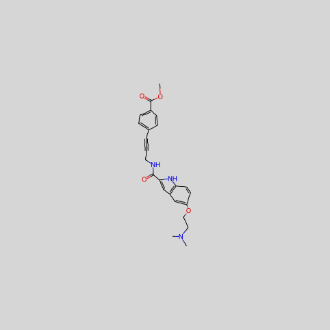 COC(=O)c1ccc(C#CCNC(=O)c2cc3cc(OCCN(C)C)ccc3[nH]2)cc1